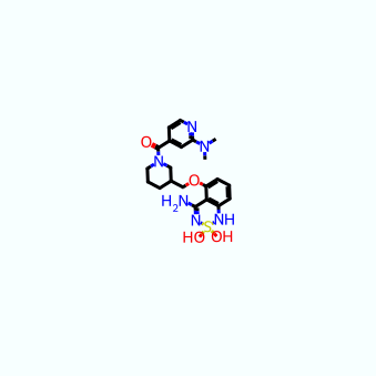 CN(C)c1cc(C(=O)N2CCCC(COc3cccc4c3C(N)=NS(O)(O)N4)C2)ccn1